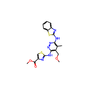 COCc1c(Nc2nc(C(=O)OC)cs2)nnc(Nc2nc3ccccc3s2)c1C